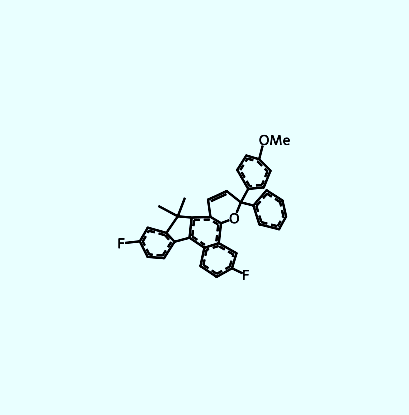 COc1ccc(C2(c3ccccc3)C=Cc3c4c(c5ccc(F)cc5c3O2)-c2ccc(F)cc2C4(C)C)cc1